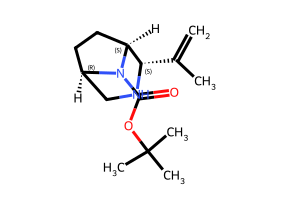 C=C(C)[C@@H]1NC[C@H]2CC[C@@H]1N2C(=O)OC(C)(C)C